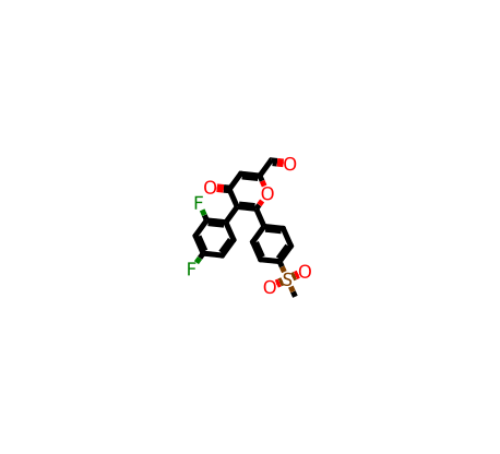 CS(=O)(=O)c1ccc(-c2oc(C=O)cc(=O)c2-c2ccc(F)cc2F)cc1